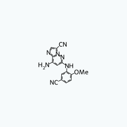 COc1ccc(C#N)cc1Nc1cc(N)c2ncc(C#N)n2n1